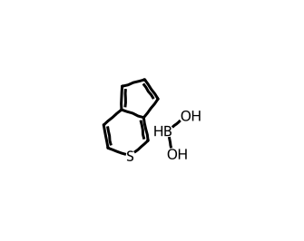 OBO.c1cc2ccscc-2c1